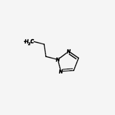 [CH2]CCn1nccn1